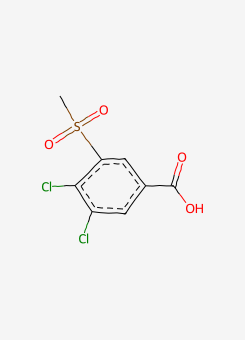 CS(=O)(=O)c1cc(C(=O)O)cc(Cl)c1Cl